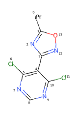 CC(C)c1nc(-c2c(Cl)ncnc2Cl)no1